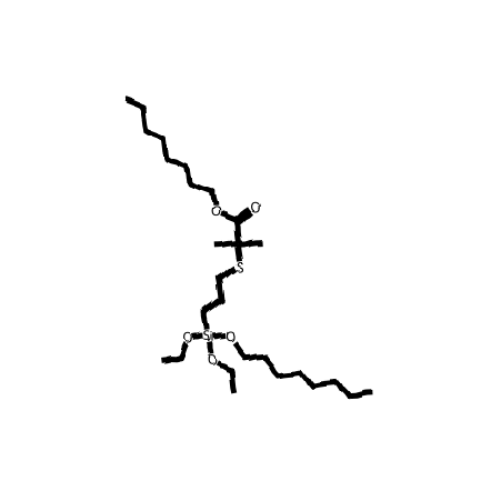 CCCCCCCCOC(=O)C(C)(C)SCCC[Si](OCC)(OCC)OCCCCCCCC